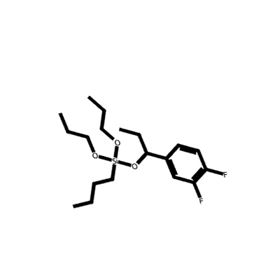 CCCC[Si](OCCC)(OCCC)OC(CC)c1ccc(F)c(F)c1